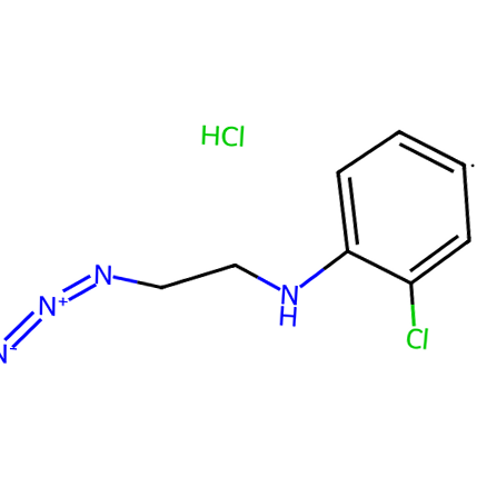 Cl.[N-]=[N+]=NCCNc1cc[c]cc1Cl